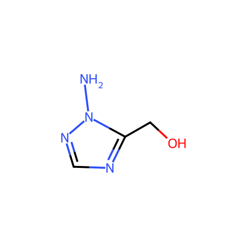 Nn1ncnc1CO